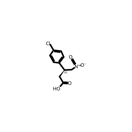 O=C(O)C[C@H](C[N+](=O)[O-])c1ccc(Cl)cc1